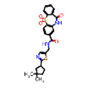 CC1(C)CCC(c2ncc(CNC(=O)c3ccc4c(c3)NC(=O)c3ccccc3S4(=O)=O)s2)C1